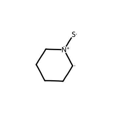 [S][N+]1[CH]CCCC1